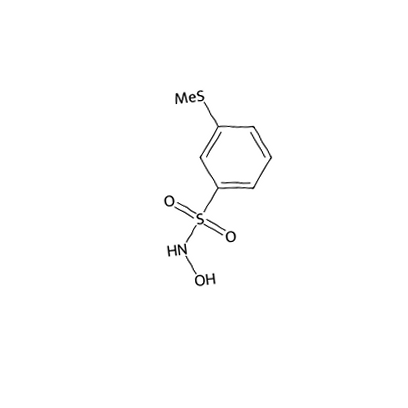 CSc1cccc(S(=O)(=O)NO)c1